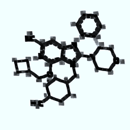 CC1CCC(Cn2c(N3CCOC[C@H]3c3ccccc3)nc3cc(C#N)nc(OCC4CCC4)c32)CC1